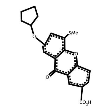 CSc1cc(OC2CCCC2)cc2c(=O)c3cc(C(=O)O)ccc3oc12